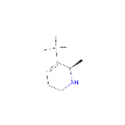 C[C@H]1NCCC=C1C(C)(C)C